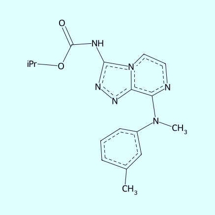 Cc1cccc(N(C)c2nccn3c(NC(=O)OC(C)C)nnc23)c1